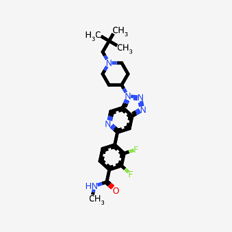 CNC(=O)c1ccc(-c2cc3nnn(C4CCN(CC(C)(C)C)CC4)c3cn2)c(F)c1F